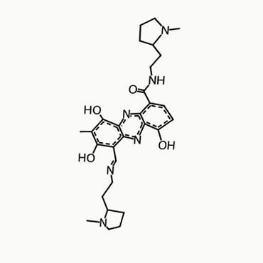 Cc1c(O)c(C=NCCC2CCCN2C)c2nc3c(O)ccc(C(=O)NCCC4CCCN4C)c3nc2c1O